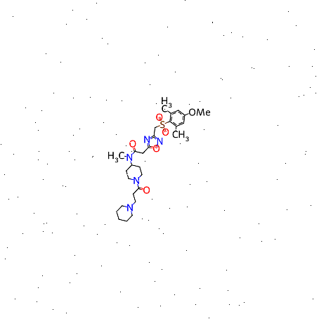 COc1cc(C)c(S(=O)(=O)Cc2noc(CC(=O)N(C)C3CCN(C(=O)CCN4CCCCC4)CC3)n2)c(C)c1